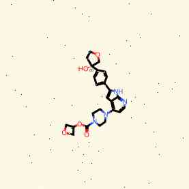 O=C(OC1COC1)N1CCN(c2ccnc3[nH]c(-c4ccc([C@@]5(O)CCOC5)cc4)cc23)CC1